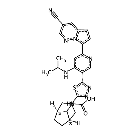 CC(C)Nc1cc(-c2ccc3cc(C#N)cnn23)ncc1-c1nnc(N2C[C@H]3CC[C@@H](C2)C3NC(=O)O)s1